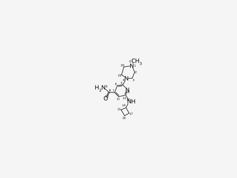 CN1CCN(c2cc(C(N)=O)cc(NC3CCC3)n2)CC1